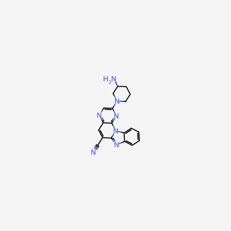 N#Cc1cc2ncc(N3CCC[C@H](N)C3)nc2n2c1nc1ccccc12